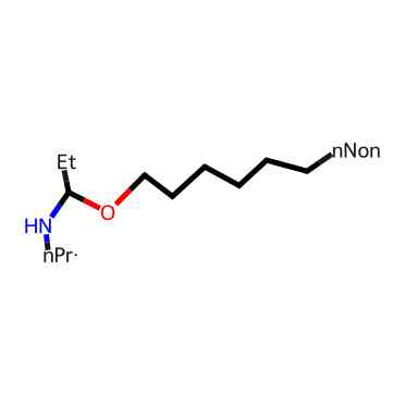 CC[CH]NC(CC)OCCCCCCCCCCCCCCC